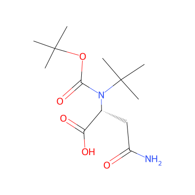 CC(C)(C)OC(=O)N([C@H](CC(N)=O)C(=O)O)C(C)(C)C